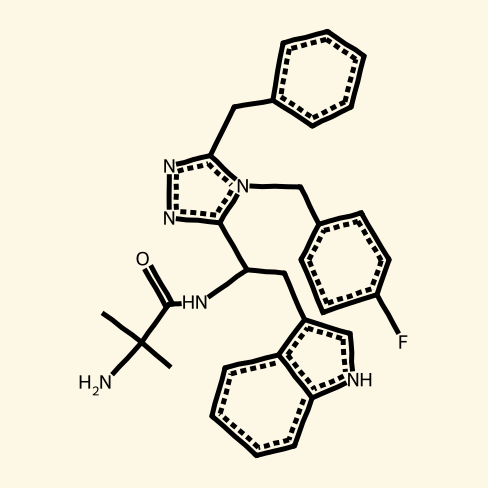 CC(C)(N)C(=O)NC(Cc1c[nH]c2ccccc12)c1nnc(Cc2ccccc2)n1Cc1ccc(F)cc1